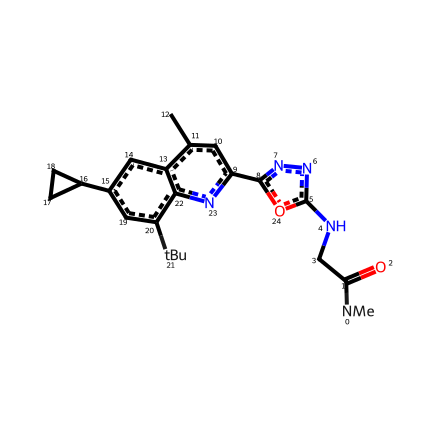 CNC(=O)CNc1nnc(-c2cc(C)c3cc(C4CC4)cc(C(C)(C)C)c3n2)o1